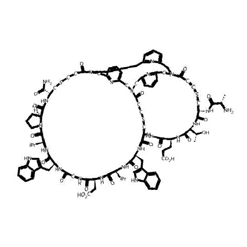 CC(C)[C@@H]1NC(=O)[C@H](Cc2c[nH]c3ccccc23)NC(=O)[C@@H]2CSCCC(=O)N3Cc4cccc(n4)CN(Cc4cccc(n4)CN(Cc4cccc(n4)C3)C(=O)CCSC[C@H](NC(=O)[C@H](C)N)C(=O)N[C@@H]([C@@H](C)O)C(=O)N[C@@H](CCC(=O)O)C(=O)N2)C(=O)CCSC[C@@H](C(N)=O)NC(=O)[C@@H]2CCCN2C(=O)[C@H](C(C)C)NC(=O)[C@H](Cc2c[nH]c3ccccc23)NC(=O)CNC(=O)[C@H](CC(=O)O)NC1=O